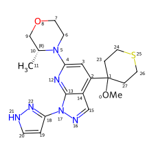 COC1(c2cc(N3CCOC[C@H]3C)nc3c2cnn3-c2cc[nH]n2)CCSCC1